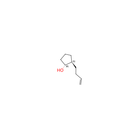 C=CCC[C@@H]1CCC[C@H]1O